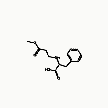 COC(=O)CCNC(Cc1ccccc1)C(=O)O